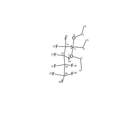 CCO[Si](CC)(OCC)C(F)(F)C(F)(F)C(F)(F)C(F)(F)F